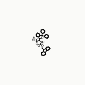 CC(OC(c1ccccc1)(c1ccccc1)c1ccccc1)C(NC(=O)OCC1c2ccccc2-c2ccccc21)C(=O)O